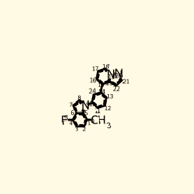 Cc1ccc(F)c2ccn(-c3cccc(-c4cccn5nccc45)c3)c12